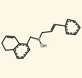 ON(C/C=C/c1ccccc1)Cc1cccc2c1C=CCC2